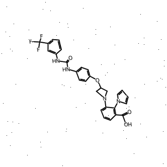 O=C(Nc1ccc(OC2CN(c3cccc(C(=O)O)c3-n3cccc3)C2)cc1)Nc1cccc(C(F)(F)F)c1